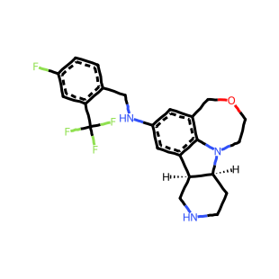 Fc1ccc(CNc2cc3c4c(c2)[C@@H]2CNCC[C@@H]2N4CCOC3)c(C(F)(F)F)c1